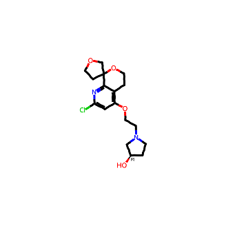 O[C@@H]1CCN(CCOc2cc(Cl)nc3c2CCOC32CCOC2)C1